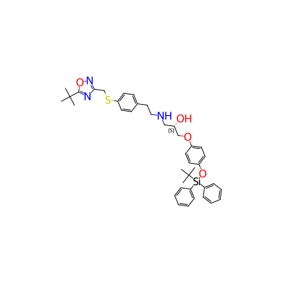 CC(C)(C)c1nc(CSc2ccc(CCNC[C@H](O)COc3ccc(O[Si](c4ccccc4)(c4ccccc4)C(C)(C)C)cc3)cc2)no1